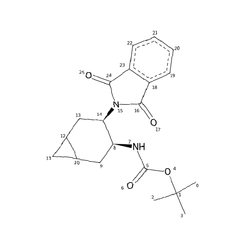 CC(C)(C)OC(=O)N[C@H]1CC2CC2C[C@H]1N1C(=O)c2ccccc2C1=O